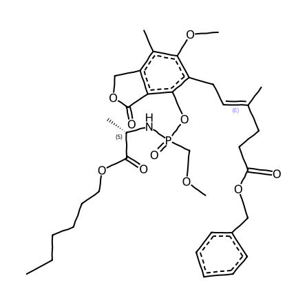 CCCCCCOC(=O)[C@H](C)NP(=O)(COC)Oc1c(C/C=C(\C)CCC(=O)OCc2ccccc2)c(OC)c(C)c2c1C(=O)OC2